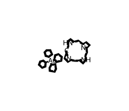 C1=Cc2cc3ccc(cc4nc(cc5ccc(cc1n2)[nH]5)C=C4)[nH]3.c1cc[c]([Ag]([c]2ccccc2)([c]2ccccc2)[c]2ccccc2)cc1